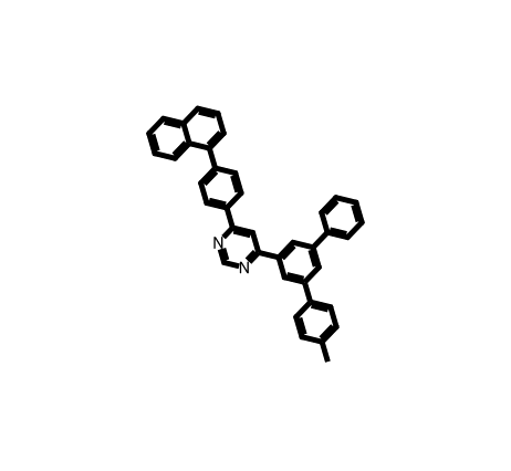 Cc1ccc(-c2cc(-c3ccccc3)cc(-c3cc(-c4ccc(-c5cccc6ccccc56)cc4)ncn3)c2)cc1